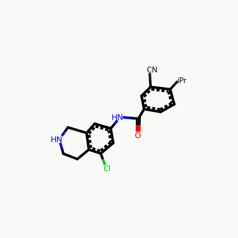 CC(C)c1ccc(C(=O)Nc2cc(Cl)c3c(c2)CNCC3)cc1C#N